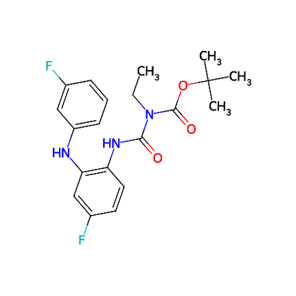 CCN(C(=O)Nc1ccc(F)cc1Nc1cccc(F)c1)C(=O)OC(C)(C)C